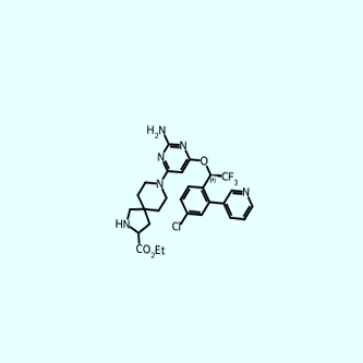 CCOC(=O)C1CC2(CCN(c3cc(O[C@H](c4ccc(Cl)cc4-c4cccnc4)C(F)(F)F)nc(N)n3)CC2)CN1